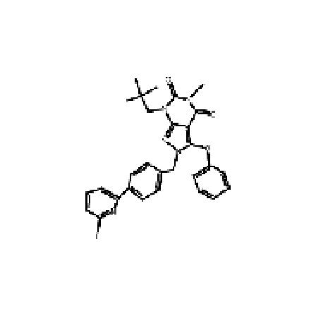 Cn1c(=O)c2c(Oc3ccccc3)n(Cc3ccc(-c4cccc(F)n4)cc3)nc2n(CC(C)(C)C)c1=O